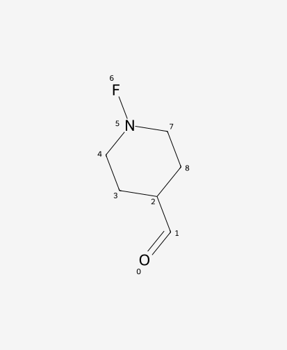 O=CC1CCN(F)CC1